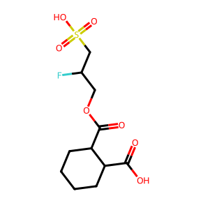 O=C(O)C1CCCCC1C(=O)OCC(F)CS(=O)(=O)O